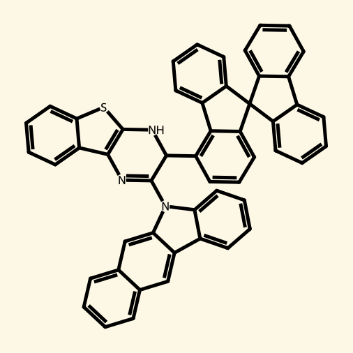 c1ccc2c(c1)-c1ccccc1C21c2ccccc2-c2c(C3Nc4sc5ccccc5c4N=C3n3c4ccccc4c4cc5ccccc5cc43)cccc21